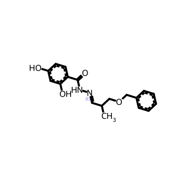 CC(/C=N/NC(=O)c1ccc(O)cc1O)COCc1ccccc1